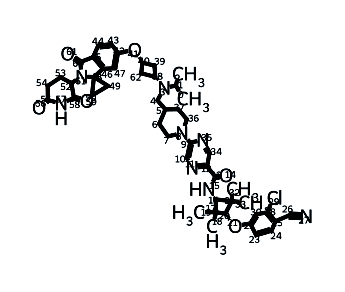 CC(C)N(CC1CCN(c2cnc(C(=O)N[C@H]3C(C)(C)[C@H](Oc4ccc(C#N)c(Cl)c4)C3(C)C)cn2)CC1)[C@H]1C[C@H](Oc2ccc3c(c2)C2(CC2)N(C2CCC(=O)NC2=O)C3=O)C1